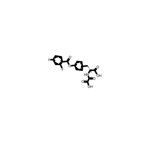 O=C(O)C(=O)N[C@H](Cc1ccc(OC(=O)c2ccc(F)cc2F)cc1)C(=O)O